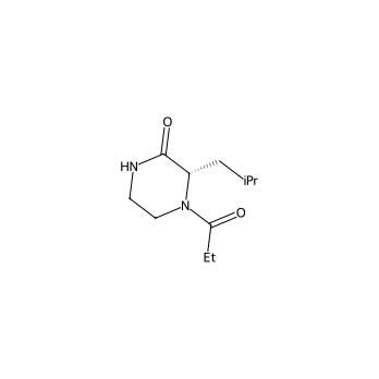 CCC(=O)N1CCNC(=O)[C@@H]1CC(C)C